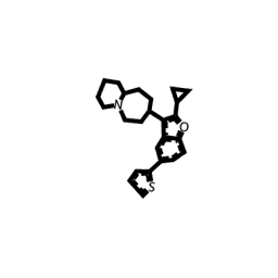 c1csc(-c2ccc3oc(C4CC4)c(C4CCC5CCCCN5CC4)c3c2)c1